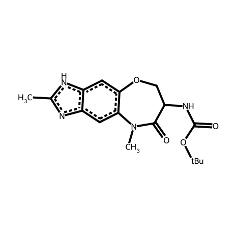 Cc1nc2cc3c(cc2[nH]1)OCC(NC(=O)OC(C)(C)C)C(=O)N3C